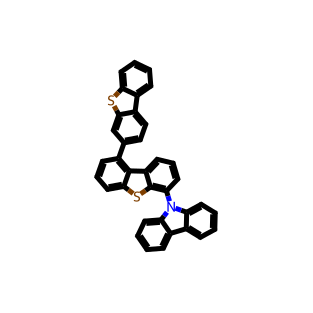 c1ccc2c(c1)sc1cc(-c3cccc4sc5c(-n6c7ccccc7c7ccccc76)cccc5c34)ccc12